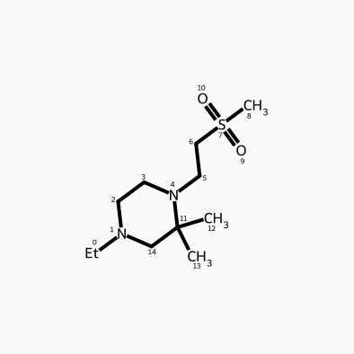 CCN1CCN(CCS(C)(=O)=O)C(C)(C)C1